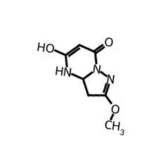 COC1=NN2C(=O)C=C(O)NC2C1